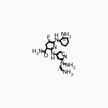 N/C=C\N(N)c1cc(NC2=NC(N[C@@H]3CCCC[C@@H]3N)=C(F)CC2C(N)=O)ccn1